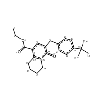 CCOC(=O)c1cc(Cc2ccc(C(F)(F)F)cc2)c(=O)n2c1CCCC2